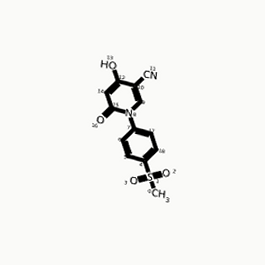 CS(=O)(=O)c1ccc(-n2cc(C#N)c(O)cc2=O)cc1